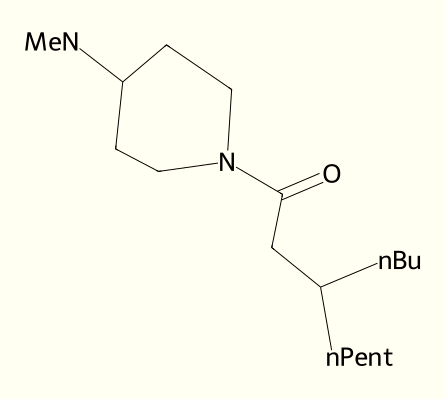 CCCCCC(CCCC)CC(=O)N1CCC(NC)CC1